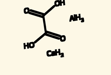 O=C(O)C(=O)O.[AlH3].[CaH2]